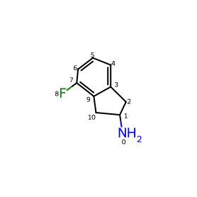 NC1Cc2cccc(F)c2C1